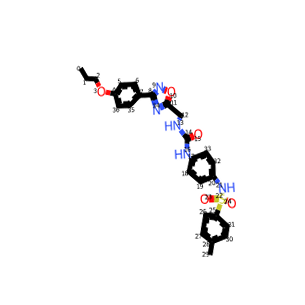 CCCOc1ccc(-c2noc(CNC(=O)Nc3ccc(NS(=O)(=O)c4ccc(C)cc4)cc3)n2)cc1